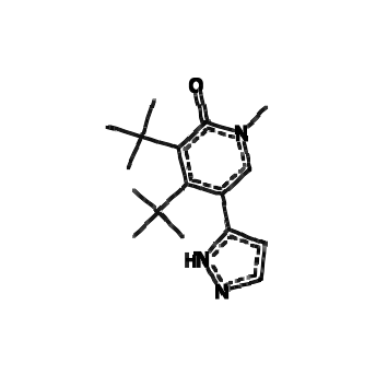 Cn1cc(-c2ccn[nH]2)c(C(C)(C)C)c(C(C)(C)C)c1=O